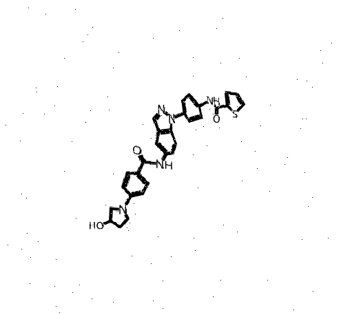 O=C(Nc1ccc2c(cnn2-c2ccc(NC(=O)c3cccs3)cc2)c1)c1ccc(N2CCC(O)C2)cc1